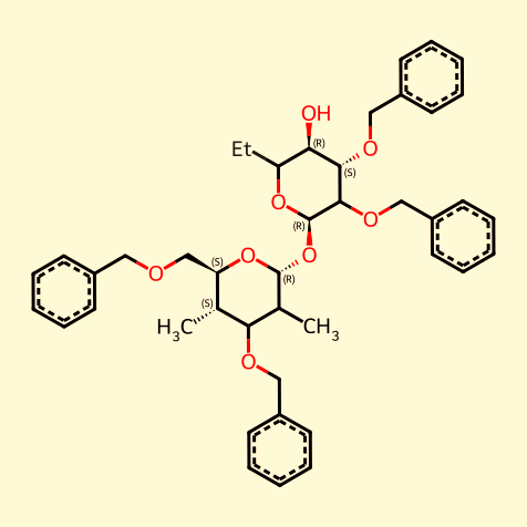 CCC1O[C@H](O[C@H]2O[C@H](COCc3ccccc3)[C@@H](C)C(OCc3ccccc3)C2C)C(OCc2ccccc2)[C@@H](OCc2ccccc2)[C@@H]1O